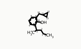 CCCC(C)c1cccc(CC2CC2)c1O